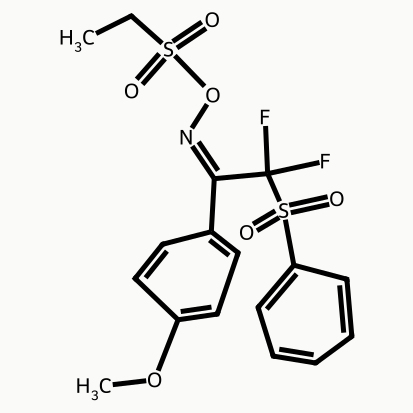 CCS(=O)(=O)ON=C(c1ccc(OC)cc1)C(F)(F)S(=O)(=O)c1ccccc1